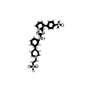 CP(C)(=O)c1ccc(-c2cccn3nc(Nc4cccc(C5CCN(CCS(C)(=O)=O)CC5)c4)nc23)cc1